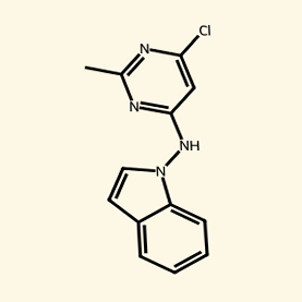 Cc1nc(Cl)cc(Nn2ccc3ccccc32)n1